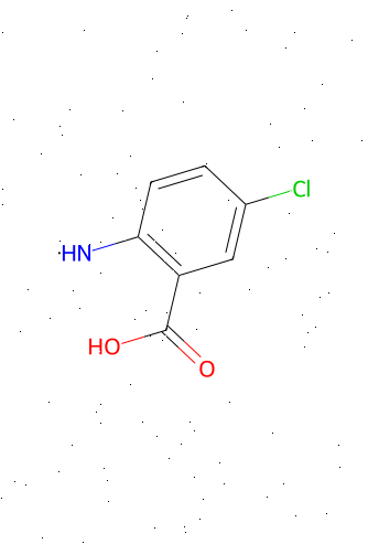 [NH]c1ccc(Cl)cc1C(=O)O